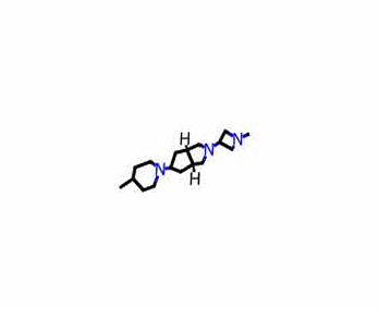 CC1CCN(C2C[C@@H]3CN(C4CN(C)C4)C[C@@H]3C2)CC1